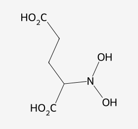 O=C(O)CCC(C(=O)O)N(O)O